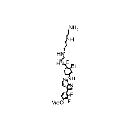 CCc1cc(Nc2nccn3c(-c4ccc(OC)c(F)c4F)cnc23)ccc1C(=O)N[C@H](C)CNCCCCNCCCN